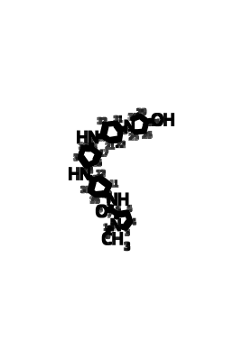 CCn1cccc1C(=O)Nc1ccc(Nc2ccc(Nc3ccc(N4CCC(O)CC4)cc3)cc2)cc1